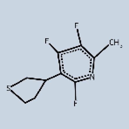 Cc1nc(F)c(C2CCSC2)c(F)c1F